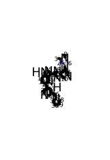 C=N/C(C)=C\N(C)c1cncc2[nH]c(-c3n[nH]c4ccc(-c5cncc(CN6CCCC6)c5)nc34)nc12